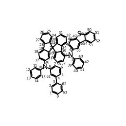 c1ccc(-c2cccc(N(c3ccccc3)c3ccc4c(c3)C3(c5ccccc5-4)c4ccccc4-c4c(N(c5ccccc5)c5ccc6sc7ccccc7c6c5)cccc43)c2)cc1